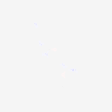 C[C@H]1CCC=C1O/C(N)=N\c1cc(NC(=O)c2ccc(C#N)cn2)ccc1F